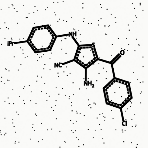 CC(C)c1ccc(Nc2sc(C(=O)c3ccc(Cl)cc3)c(N)c2C#N)cc1